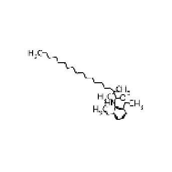 CCCCCCCCC=CCCCCCCC(C)(C)C(=O)Nc1c(CC)cccc1CC